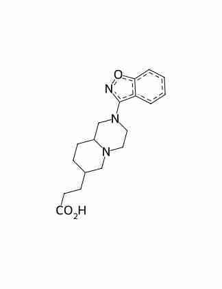 O=C(O)CCC1CCC2CN(c3noc4ccccc34)CCN2C1